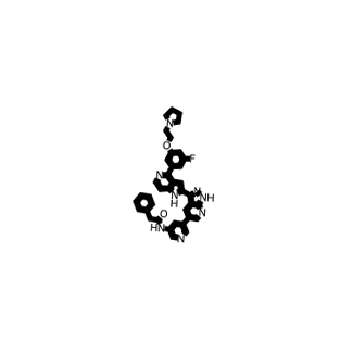 O=C(Cc1ccccc1)Nc1cncc(-c2cnc3[nH]nc(-c4cc5c(-c6cc(F)cc(OCCN7CCCC7)c6)nccc5[nH]4)c3c2)c1